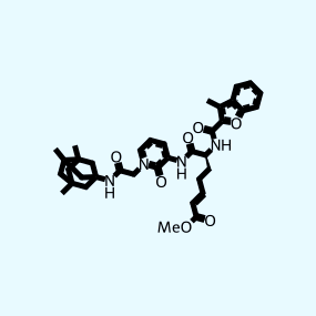 COC(=O)/C=C/CC[C@H](NC(=O)c1oc2ccccc2c1C)C(=O)Nc1cccn(CC(=O)NC23CC4(C)CC(C)(C2)C(C)(C4)C3)c1=O